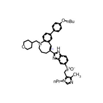 CCCCOc1ccc(-c2ccc3c(c2)/C=C(/c2nc4cc([S@+]([O-])Cc5c(C)ncn5CCC)ccc4[nH]2)CCCN3CC2CCOCC2)cc1